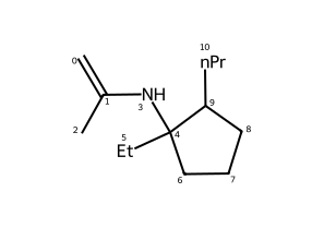 C=C(C)NC1(CC)CCCC1CCC